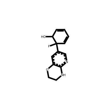 OC1C=CC=CC1(F)c1cnc2c(c1)OCCN2